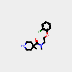 CN(CCOc1ccccc1F)C(=O)C1(C)CCNCC1